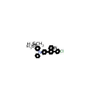 C[Si](C)(C)c1ccc(N(c2ccccc2)c2ccc(-c3ccc(-c4ccc(Cl)cc4[N+](=O)[O-])c4ccccc34)cc2)cc1